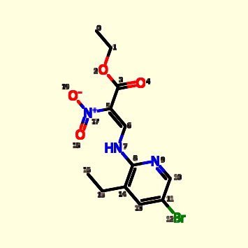 CCOC(=O)/C(=C/Nc1ncc(Br)cc1CC)[N+](=O)[O-]